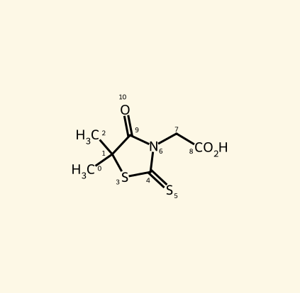 CC1(C)SC(=S)N(CC(=O)O)C1=O